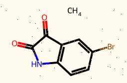 C.O=C1Nc2ccc(Br)cc2C1=O